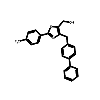 OCc1sc(-c2ccc(C(F)(F)F)cc2)nc1Cc1ccc(-c2ccccc2)cc1